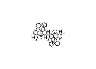 C[Si]1(C)c2cc(-c3cc(-c4ccccn4)c4c(c3)[Si](C)(C)c3cccc5c6ccccc6n-4c35)cc(-c3ccccn3)c2-n2c3ccccc3c3cccc1c32